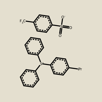 CC(C)c1ccc([S+](c2ccccc2)c2ccccc2)cc1.O=S(=O)([O-])c1ccc(C(F)(F)F)cc1